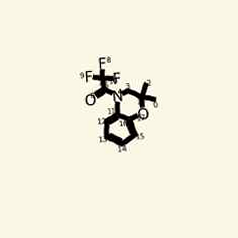 CC1(C)CN(C(=O)C(F)(F)F)c2ccccc2O1